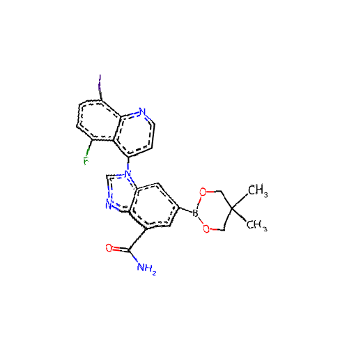 CC1(C)COB(c2cc(C(N)=O)c3ncn(-c4ccnc5c(I)ccc(F)c45)c3c2)OC1